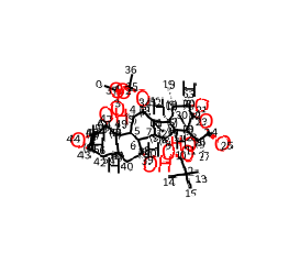 CC(=O)O[C@H]1C2C([C@@H]3[C@@H](OC(=O)C(C)(C)C)[C@@H]4[C@H]([C@H](C)[C@H]5O[C@]56OC(=O)[C@@](C)(O)[C@]46C)[C@@]3(C)[C@H]1OC(C)=O)[C@@H](O)C[C@H]1C[C@@H]3O[C@@H]3[C@H](O)[C@]21C